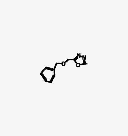 [c]1nnc(COCc2ccccc2)o1